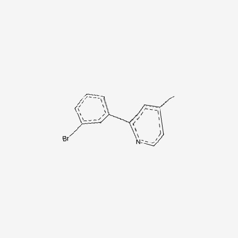 Cc1ccnc(-c2cccc(Br)c2)c1